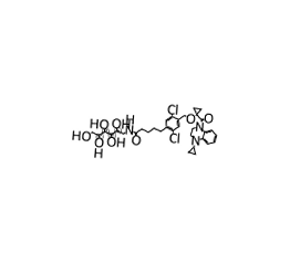 O=C(CCCCc1cc(Cl)c(COC2(C(=O)N3CCN(C4CC4)c4ccccc43)CC2)cc1Cl)NC[C@H](O)[C@@H](O)[C@H](O)[C@H](O)CO